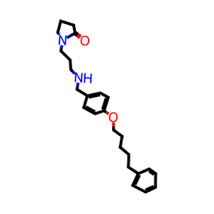 O=C1CCCN1CCCNCc1ccc(OCCCCCc2ccccc2)cc1